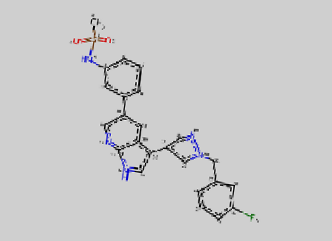 CS(=O)(=O)Nc1cccc(-c2cnc3[nH]cc(-c4cnn(Cc5cccc(F)c5)c4)c3c2)c1